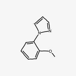 COc1ccccc1-n1[c]ccn1